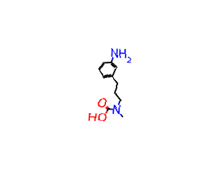 CN(CCCc1cccc(N)c1)C(=O)O